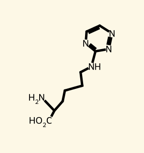 NC(CCCCNc1nccnn1)C(=O)O